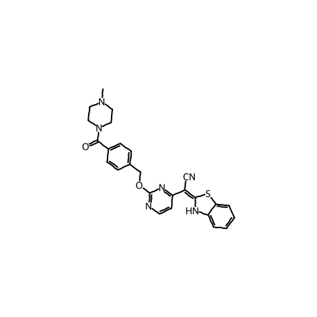 CN1CCN(C(=O)c2ccc(COc3nccc(/C(C#N)=C4\Nc5ccccc5S4)n3)cc2)CC1